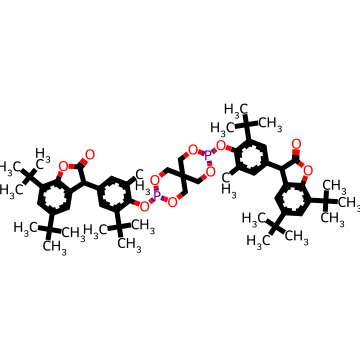 Cc1cc(C2C(=O)Oc3c2cc(C(C)(C)C)cc3C(C)(C)C)cc(C(C)(C)C)c1OP1OCC2(CO1)COP(Oc1c(C)cc(C3C(=O)Oc4c3cc(C(C)(C)C)cc4C(C)(C)C)cc1C(C)(C)C)OC2